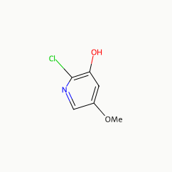 COc1cnc(Cl)c(O)c1